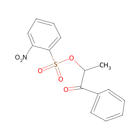 CC(OS(=O)(=O)c1ccccc1[N+](=O)[O-])C(=O)c1ccccc1